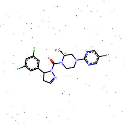 C[C@H]1CN(c2ncc(F)cn2)CCN1C(=O)N1N=CCC1c1cc(F)cc(F)c1